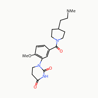 CNCCC1CCN(C(=O)c2ccc(OC)c(N3CCC(=O)NC3=O)c2)CC1